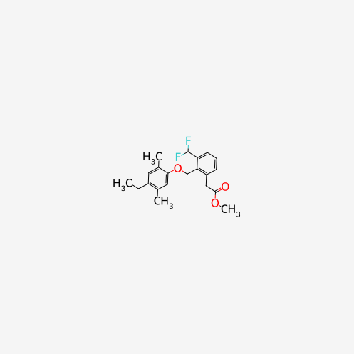 CCc1cc(C)c(OCc2c(CC(=O)OC)cccc2C(F)F)cc1C